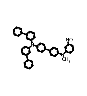 CN(c1ccc(-c2ccc(N(c3cccc(-c4ccccc4)c3)c3cccc(-c4ccccc4)c3)cc2)cc1)c1cccc(N=O)c1